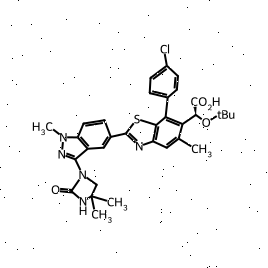 Cc1cc2nc(-c3ccc4c(c3)c(N3CC(C)(C)NC3=O)nn4C)sc2c(-c2ccc(Cl)cc2)c1[C@H](OC(C)(C)C)C(=O)O